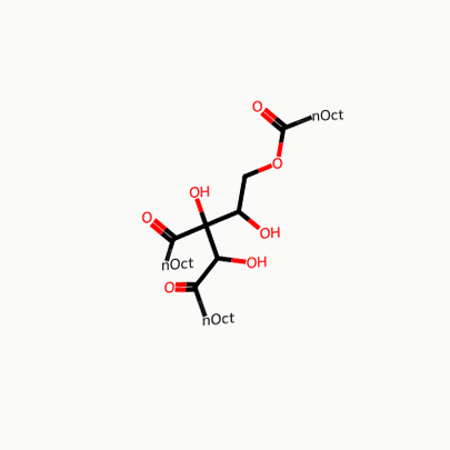 CCCCCCCCC(=O)OCC(O)C(O)(C(=O)CCCCCCCC)C(O)C(=O)CCCCCCCC